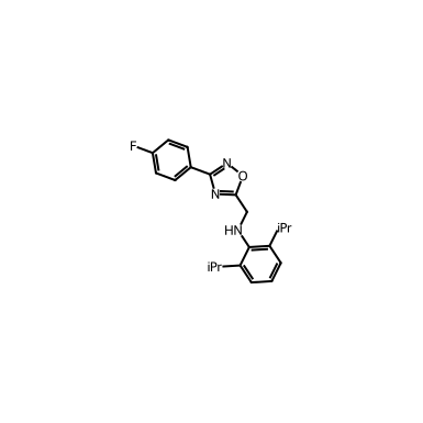 CC(C)c1cccc(C(C)C)c1NCc1nc(-c2ccc(F)cc2)no1